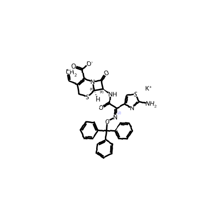 C=CC1=C(C(=O)[O-])N2C(=O)[C@@H](NC(=O)/C(=N\OC(c3ccccc3)(c3ccccc3)c3ccccc3)c3csc(N)n3)[C@H]2SC1.[K+]